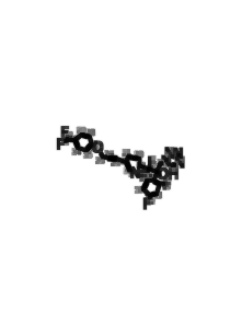 OC(Cn1cnnn1)(c1ccc(F)cc1F)C(F)(F)c1ccc(C#CCOc2ccc(C(F)F)cc2)cn1